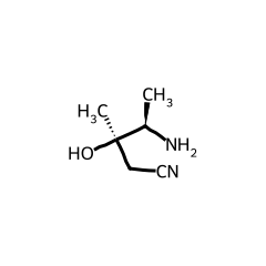 C[C@@H](N)[C@](C)(O)CC#N